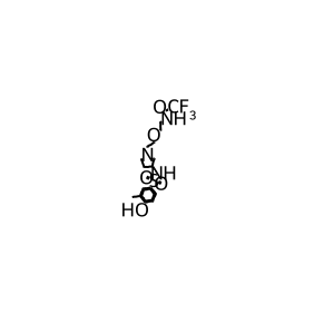 Cc1cc(S(=O)(=O)N[C@@H]2CCN(CCOCCNC(=O)C(F)(F)F)C2)ccc1O